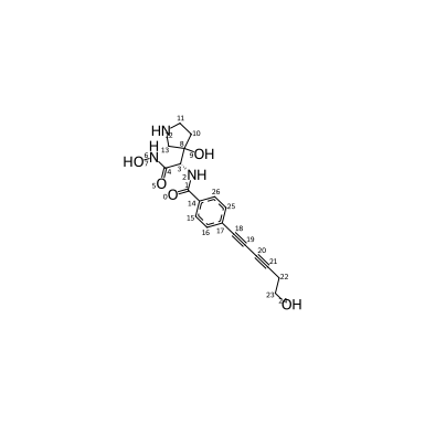 O=C(N[C@H](C(=O)NO)C1(O)CCNC1)c1ccc(C#CC#CCCO)cc1